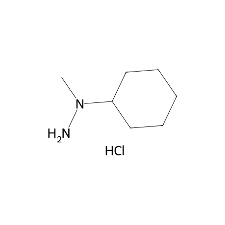 CN(N)C1CCCCC1.Cl